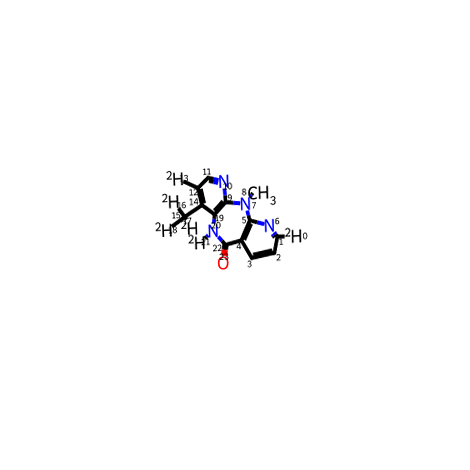 [2H]c1ccc2c(n1)N(C)c1ncc([2H])c(C([2H])([2H])[2H])c1N([2H])C2=O